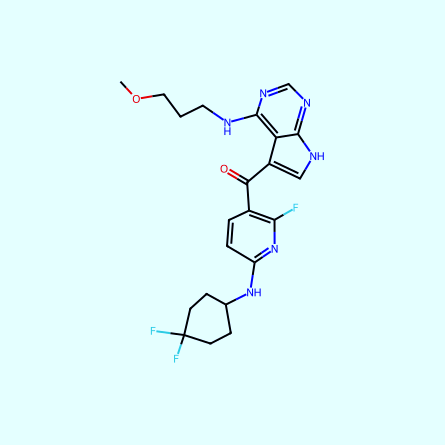 COCCCNc1ncnc2[nH]cc(C(=O)c3ccc(NC4CCC(F)(F)CC4)nc3F)c12